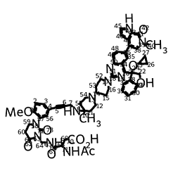 COc1ccc(C#CCNC2(C)CCN(C3CCN(c4nc(C(CO)(OC5CC5)c5ccccc5)c5cc(-c6cn(C)c(=O)c7[nH]ccc67)ccc5n4)CC3)CC2)cc1N1CCC(=O)N(CNC(=O)C(CC(=O)O)NC(C)=O)C1=O